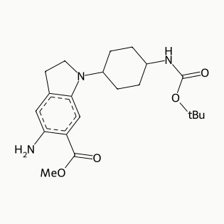 COC(=O)c1cc2c(cc1N)CCN2C1CCC(NC(=O)OC(C)(C)C)CC1